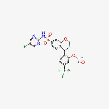 O=S(=O)(Nc1ncc(F)cn1)c1ccc2c(c1)OCCC2c1ccc(C(F)(F)F)cc1OC1COC1